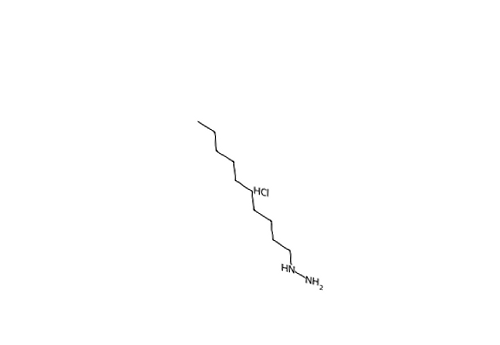 CCCCCCCCCCNN.Cl